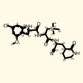 COc1cc(Cl)cc2[nH]c(C(=O)NC(C[Si](C)(C)C)C(=O)NC(C#N)CC3CCCNC3=O)cc12